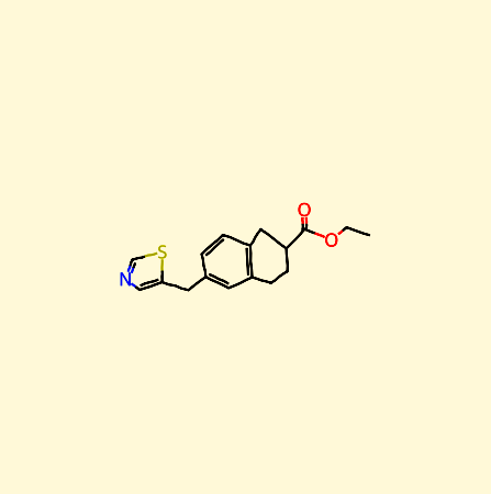 CCOC(=O)C1CCc2cc(Cc3cncs3)ccc2C1